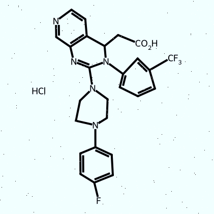 Cl.O=C(O)CC1c2ccncc2N=C(N2CCN(c3ccc(F)cc3)CC2)N1c1cccc(C(F)(F)F)c1